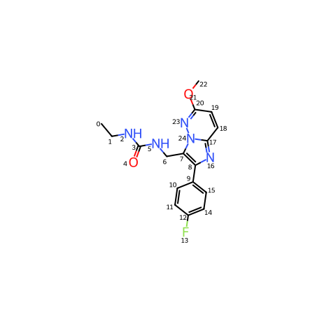 CCNC(=O)NCc1c(-c2ccc(F)cc2)nc2ccc(OC)nn12